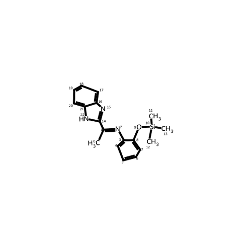 CC(=Nc1ccccc1O[Si](C)(C)C)c1nc2ccccc2[nH]1